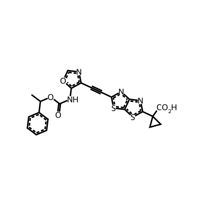 CC(OC(=O)Nc1ocnc1C#Cc1nc2nc(C3(C(=O)O)CC3)sc2s1)c1ccccc1